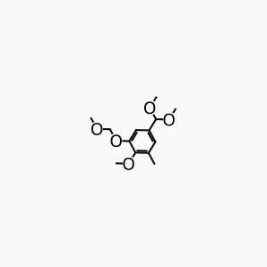 COCOc1cc(C(OC)OC)cc(C)c1OC